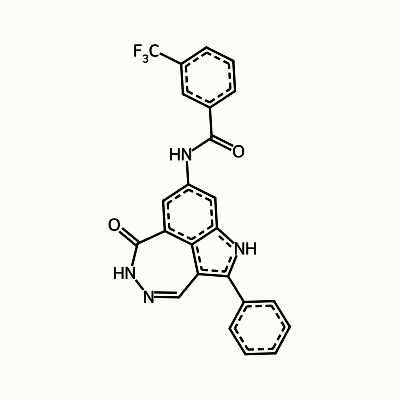 O=C(Nc1cc2c3c(c(-c4ccccc4)[nH]c3c1)C=NNC2=O)c1cccc(C(F)(F)F)c1